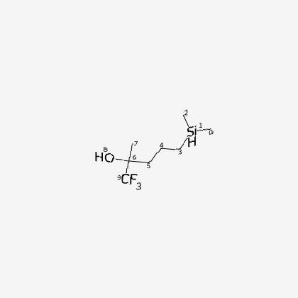 C[SiH](C)CCCC(C)(O)C(F)(F)F